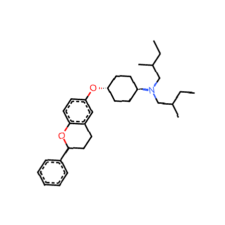 CCC(C)CN(CC(C)CC)[C@H]1CC[C@H](Oc2ccc3c(c2)CCC(c2ccccc2)O3)CC1